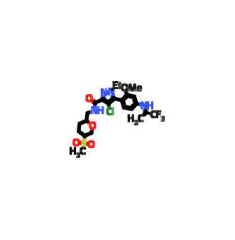 CCn1nc(C(=O)NCC2CCC(S(C)(=O)=O)CO2)c(Cl)c1-c1ccc(N[C@H](C)C(F)(F)F)cc1OC